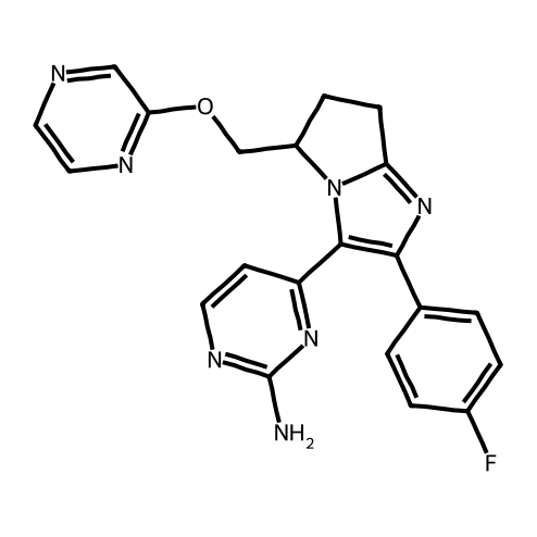 Nc1nccc(-c2c(-c3ccc(F)cc3)nc3n2C(COc2cnccn2)CC3)n1